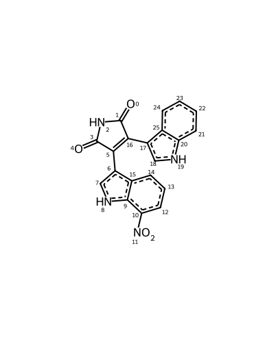 O=C1NC(=O)C(c2c[nH]c3c([N+](=O)[O-])cccc23)=C1c1c[nH]c2ccccc12